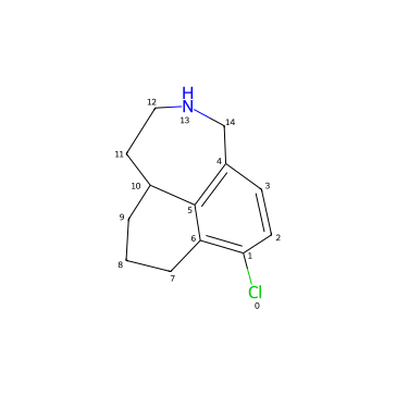 Clc1ccc2c3c1CCCC3CCNC2